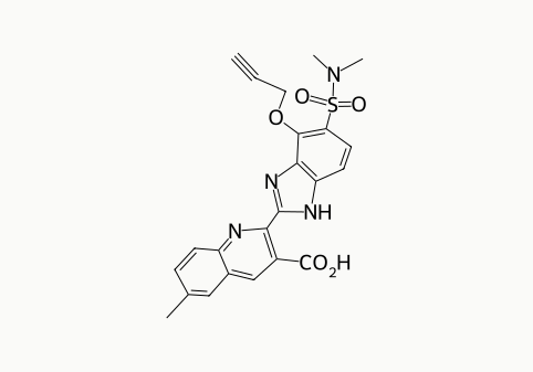 C#CCOc1c(S(=O)(=O)N(C)C)ccc2[nH]c(-c3nc4ccc(C)cc4cc3C(=O)O)nc12